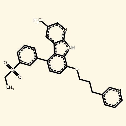 CCS(=O)(=O)c1cccc(-c2ccc(OCCCc3cccnc3)c3[nH]c4ncc(C)cc4c23)c1